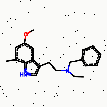 CCN(CCc1c[nH]c2c(C)cc(OC)cc12)Cc1ccccc1